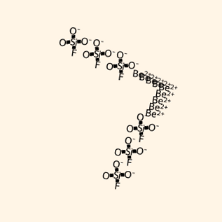 [Be+2].[Be+2].[Be+2].[Be+2].[Be+2].[Be+2].[Be+2].[Be+2].[Be+2].[O-][Si]([O-])([O-])F.[O-][Si]([O-])([O-])F.[O-][Si]([O-])([O-])F.[O-][Si]([O-])([O-])F.[O-][Si]([O-])([O-])F.[O-][Si]([O-])([O-])F